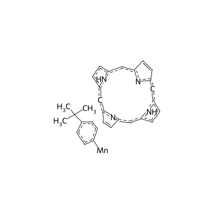 C1=Cc2cc3ccc(cc4nc(cc5ccc(cc1n2)[nH]5)C=C4)[nH]3.CC(C)(C)c1cc[c]([Mn])cc1